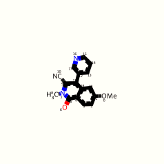 COc1ccc2c(=O)n(C)c(C#N)c(-c3cccnc3)c2c1